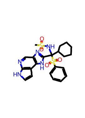 CS(=O)(=O)NC(c1nc2cnc3[nH]ccc3c2[nH]1)(C1CCCCC1)S(=O)(=O)c1ccccc1